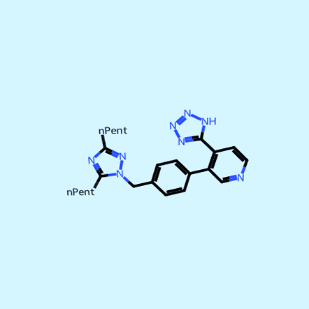 CCCCCc1nc(CCCCC)n(Cc2ccc(-c3cnccc3-c3nnn[nH]3)cc2)n1